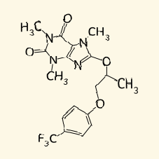 CC(COc1ccc(C(F)(F)F)cc1)Oc1nc2c(c(=O)n(C)c(=O)n2C)n1C